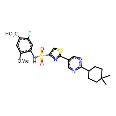 COc1cc(C(=O)O)c(F)cc1NS(=O)(=O)c1csc(-c2cnc(C3CCC(C)(C)CC3)nc2)n1